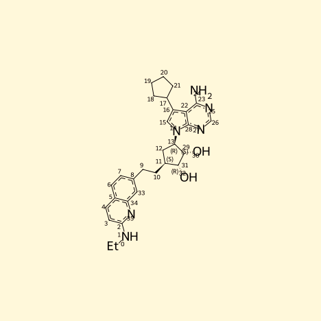 CCNc1ccc2ccc(CC[C@H]3C[C@@H](n4cc(C5CCCC5)c5c(N)ncnc54)[C@H](O)[C@@H]3O)cc2n1